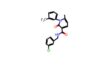 Cc1ccc(C(=O)NCc2cccc(Cl)c2)c(=O)n1-c1cccc(C(F)(F)F)c1